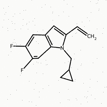 C=Cc1cc2cc(F)c(F)cc2n1CC1CC1